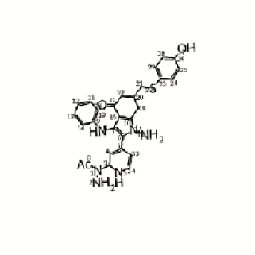 CC(=O)N(N)C1C=C(c2c(Nc3ccccc3)c3c(n2N)CC(CSc2ccc(O)cc2)CC3=O)C=CN1